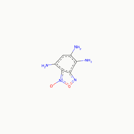 Nc1cc(N)c2c(no[n+]2[O-])c1N